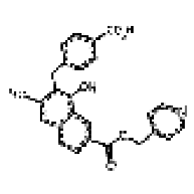 O=C(O)c1ccc(Cc2c(O)cc3ccc(C(=O)OCc4ccncc4)cc3c2O)cc1